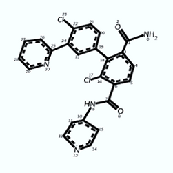 NC(=O)c1ccc(C(=O)Nc2ccncc2)c(Cl)c1-c1ccc(Cl)c(-c2ccccn2)c1